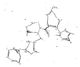 Cc1nc(C(=O)N2CCCCC2Cc2ncc(-c3ccccc3)[nH]2)c(-c2ccccc2)s1